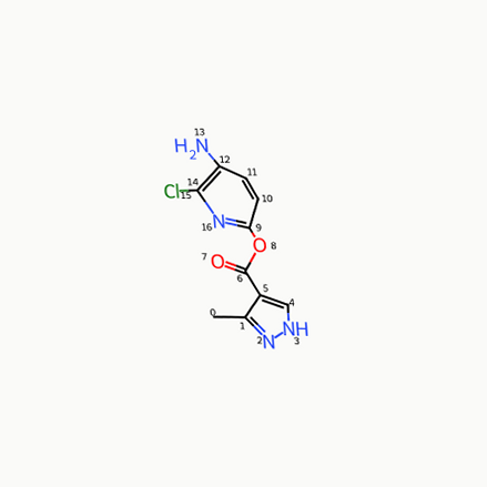 Cc1n[nH]cc1C(=O)Oc1ccc(N)c(Cl)n1